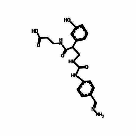 NN=Cc1ccc(NC(=O)NCC(C(=O)NCCC(=O)O)c2cccc(O)c2)cc1